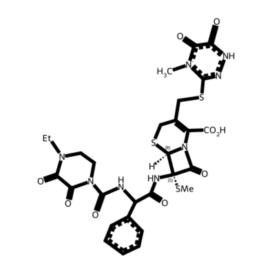 CCN1CCN(C(=O)NC(C(=O)N[C@]2(SC)C(=O)N3C(C(=O)O)=C(CSc4n[nH]c(=O)c(=O)n4C)CS[C@@H]32)c2ccccc2)C(=O)C1=O